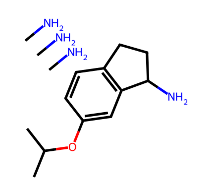 CC(C)Oc1ccc2c(c1)C(N)CC2.CN.CN.CN